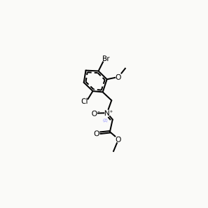 COC(=O)/C=[N+](\[O-])Cc1c(Cl)ccc(Br)c1OC